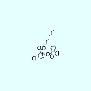 CCCCCCCCOC(=O)c1cccc(Cl)c1.O=C(O)c1ccccc1Cl